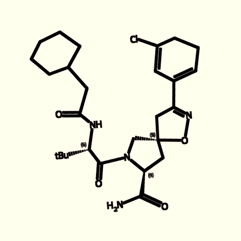 CC(C)(C)[C@H](NC(=O)CC1CCCCC1)C(=O)N1C[C@@]2(CC(C3=CCCC(Cl)=C3)=NO2)C[C@H]1C(N)=O